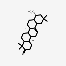 CC1(C)CC2C3=CCC4[C@@](C)(CCC5C(C)(C)C(=O)CC[C@@]54C)C3CCC2[C@H](C(=O)O)C1